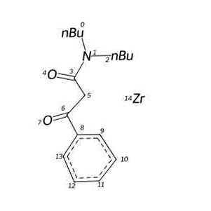 CCCCN(CCCC)C(=O)CC(=O)c1ccccc1.[Zr]